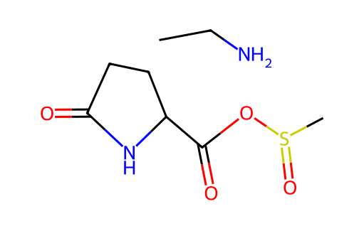 CCN.CS(=O)OC(=O)C1CCC(=O)N1